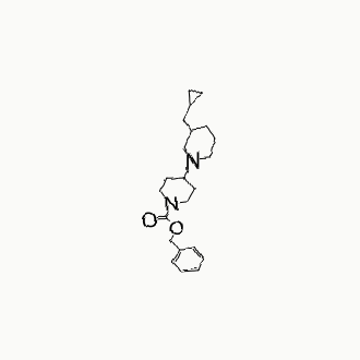 O=C(OCc1ccccc1)N1CCC(N2CCCC(CC3CC3)C2)CC1